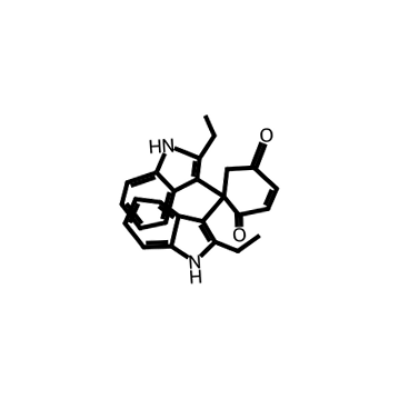 CCc1[nH]c2ccccc2c1C1(c2c(CC)[nH]c3ccccc23)CC(=O)C=CC1=O